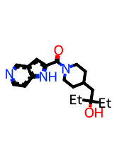 CCC(O)(CC)CC1CCN(C(=O)c2cc3cnccc3[nH]2)CC1